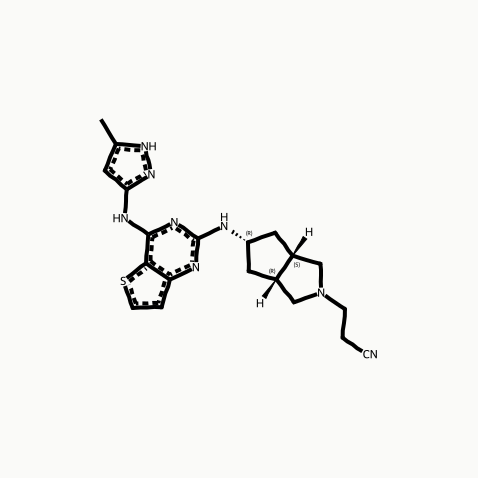 Cc1cc(Nc2nc(N[C@@H]3C[C@@H]4CN(CCC#N)C[C@@H]4C3)nc3ccsc23)n[nH]1